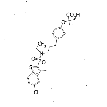 Cc1c(S(=O)(=O)N(CCCc2ccc(OC(C)(C)C(=O)O)cc2)CC(F)(F)F)sc2ccc(Cl)cc12